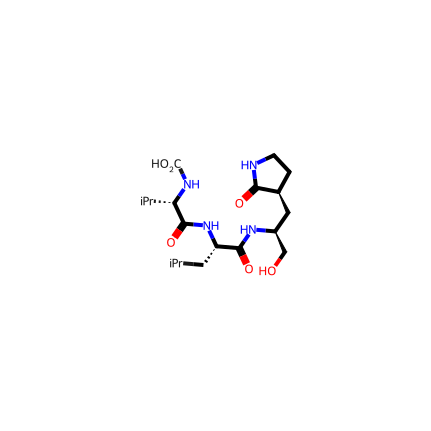 CC(C)C[C@H](NC(=O)[C@@H](NC(=O)O)C(C)C)C(=O)N[C@H](CO)C[C@@H]1CCNC1=O